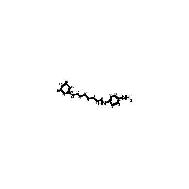 Nc1ccc(NCCCCCCCCc2ccccc2)cc1